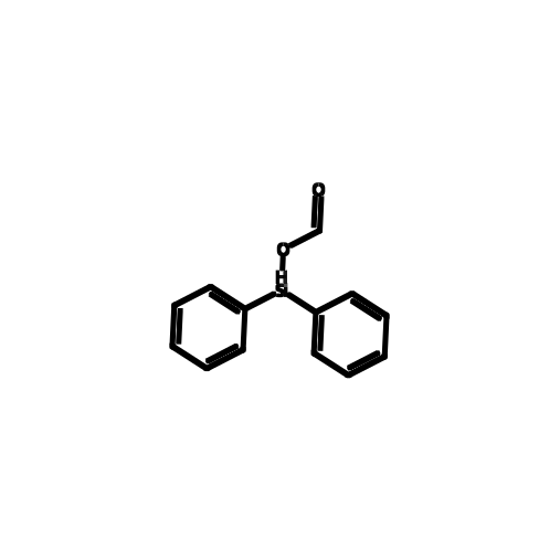 O=CO[SiH](c1ccccc1)c1ccccc1